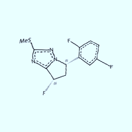 CSc1nc2n(n1)[C@H](c1cc(F)ccc1F)C[C@@H]2F